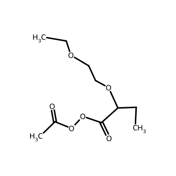 CCOCCOC(CC)C(=O)OOC(C)=O